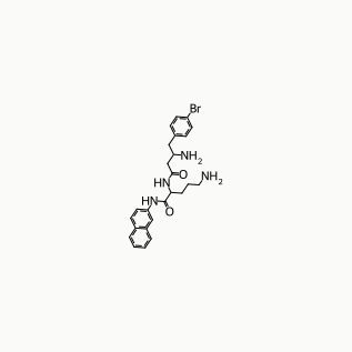 NCCCC(NC(=O)CC(N)Cc1ccc(Br)cc1)C(=O)Nc1ccc2ccccc2c1